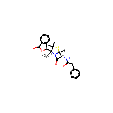 CC1(C)S[C@@H]2[C@H](NC(=O)Cc3ccccc3)C(=O)N2[C@]1(C(=O)O)C1OC(=O)c2ccccc21